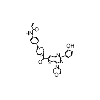 C=CC(=O)Nc1ccc(N2CCN(C(=O)c3cc4nc(-c5cccc(O)c5)nc(N5CCOCC5)c4s3)CC2)cc1